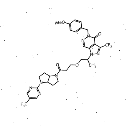 COc1ccc(Cn2ncc3c(c(C(F)(F)F)nn3C(C)COCCC(=O)N3CCC4C3CCN4c3ncc(C(F)(F)F)cn3)c2=O)cc1